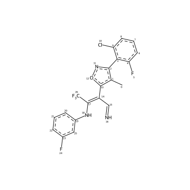 Cc1c(-c2c(F)cccc2Cl)noc1/C(C=N)=C(/Nc1cccc(F)c1)C(F)(F)F